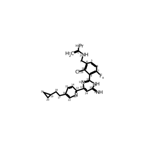 C=C(NCc1ccc(F)c(-c2nc(-c3ccc(CCC4CC4)cn3)cc(=N)[nH]2)c1Cl)C(C)C